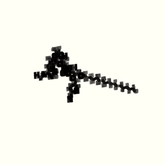 CCCCCCCCCCCCCCCCCCOC[C@H](COP(=O)(O)OC[C@@]1(C)O[C@@H](C2C(C)C=C3C(N)=NC=NN32)[C@@H]2OC(C)(C)O[C@@H]21)OCc1ccc(C#N)nc1